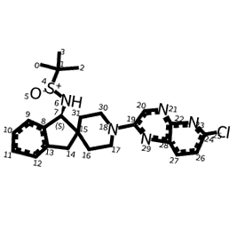 CC(C)(C)[S+]([O-])N[C@@H]1c2ccccc2CC12CCN(c1cnc3nc(Cl)ccc3n1)CC2